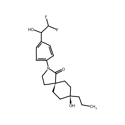 CCC[C@]1(O)CC[C@]2(CCN(c3ccc(C(O)C(F)F)cc3)C2=O)CC1